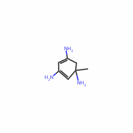 CC1(N)C=C(N)C=C(N)C1